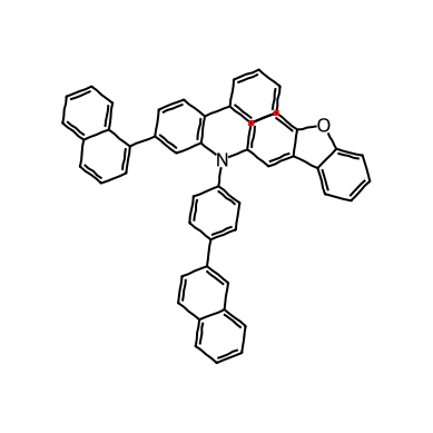 c1ccc(-c2ccc(-c3cccc4ccccc34)cc2N(c2ccc(-c3ccc4ccccc4c3)cc2)c2ccc3oc4ccccc4c3c2)cc1